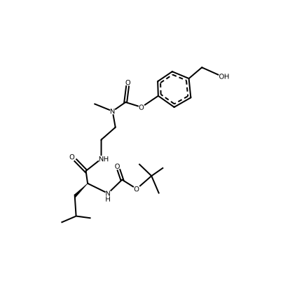 CC(C)C[C@H](NC(=O)OC(C)(C)C)C(=O)NCCN(C)C(=O)Oc1ccc(CO)cc1